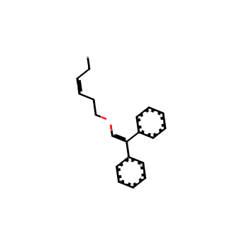 CC/C=C\CCOC=C(c1ccccc1)c1ccccc1